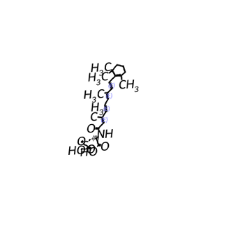 CC1=C(/C=C/C(C)=C/C=C/C(C)=C/C(=O)N[C@@H](CS(=O)(=O)O)C(=O)O)C(C)(C)CCC1